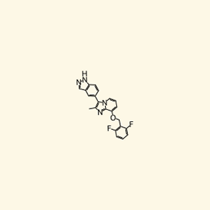 Cc1nc2c(OCc3c(F)cccc3F)cccn2c1-c1ccc2[nH]ncc2c1